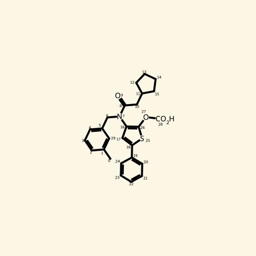 Cc1cccc(CN(C(=O)CC2CCCC2)c2cc(-c3ccccc3)sc2OC(=O)O)c1